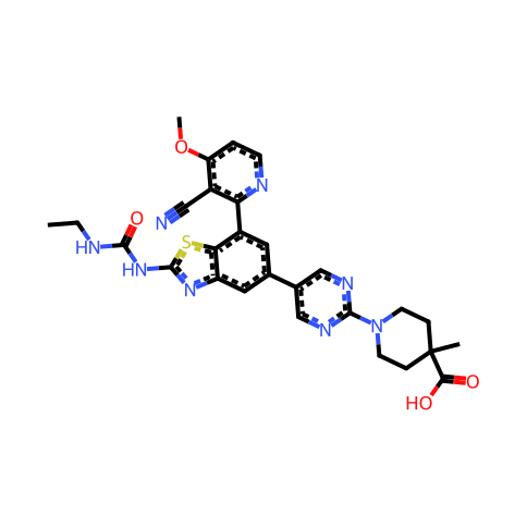 CCNC(=O)Nc1nc2cc(-c3cnc(N4CCC(C)(C(=O)O)CC4)nc3)cc(-c3nccc(OC)c3C#N)c2s1